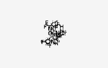 CC1Cc2c(C(F)F)nn(CC(=O)N[C@@H](Cc3cc(F)cc(F)c3)c3ncncc3-c3cnc4[nH]ncc4c3)c2C1(F)F